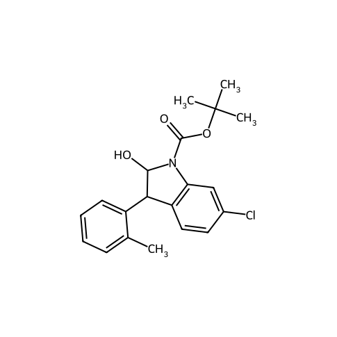 Cc1ccccc1C1c2ccc(Cl)cc2N(C(=O)OC(C)(C)C)C1O